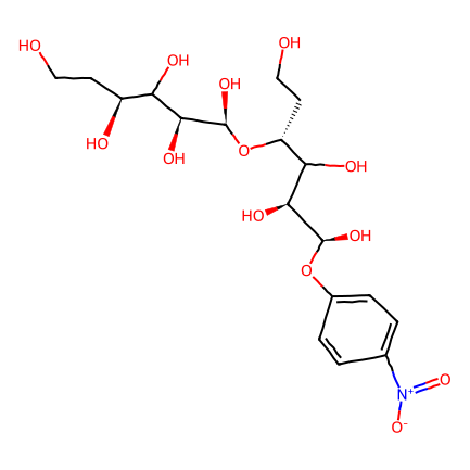 O=[N+]([O-])c1ccc(O[C@H](O)[C@@H](O)C(O)[C@@H](CCO)O[C@H](O)[C@@H](O)C(O)[C@@H](O)CCO)cc1